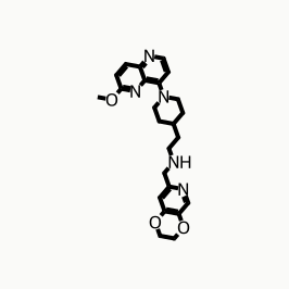 COc1ccc2nccc(N3CCC(CCNCc4cc5c(cn4)OCCO5)CC3)c2n1